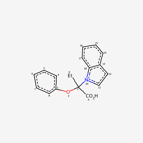 CCC(Oc1ccccc1)(C(=O)O)n1ccc2ccccc21